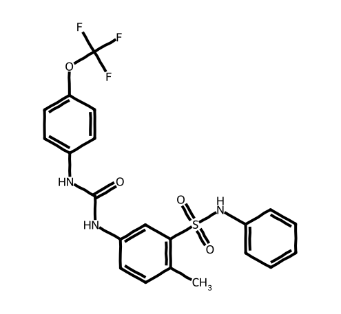 Cc1ccc(NC(=O)Nc2ccc(OC(F)(F)F)cc2)cc1S(=O)(=O)Nc1ccccc1